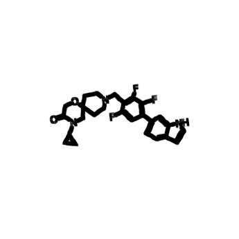 O=C1COC2(CCN(Cc3c(F)cc(-c4ccc5cc[nH]c5c4)c(F)c3F)CC2)CN1C1CC1